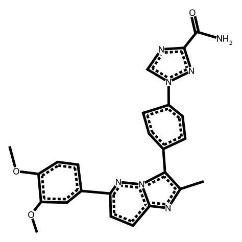 COc1ccc(-c2ccc3nc(C)c(-c4ccc(-n5cnc(C(N)=O)n5)cc4)n3n2)cc1OC